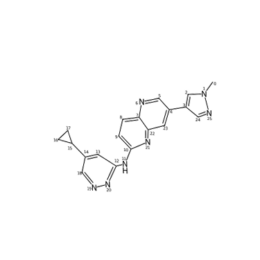 Cn1cc(-c2cnc3ccc(Nc4cc(C5CC5)cnn4)nc3c2)cn1